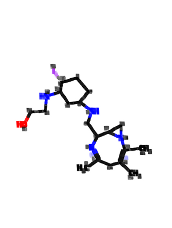 C/C1=N/C(CNC2CC[C@@H](I)C(NCCO)C2)C2CN2/C(C)=C(/C)C1